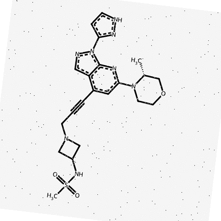 C[C@@H]1COCCN1c1cc(C#CCN2CC(NS(C)(=O)=O)C2)c2cnn(-c3cc[nH]n3)c2n1